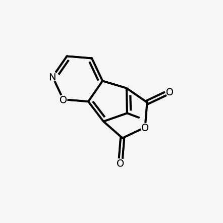 Cc1c2c3ccnoc-3c1C(=O)OC2=O